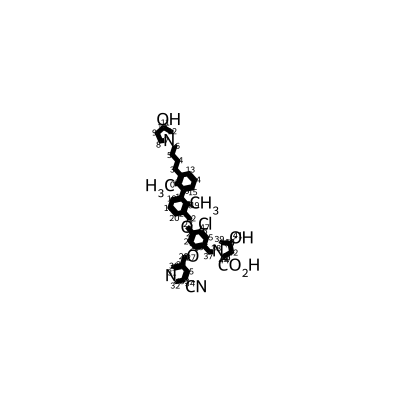 Cc1c(CCCCN2CCC(O)C2)cccc1-c1cccc(COc2cc(OCc3cncc(C#N)c3)c(CN3C[C@H](O)C[C@H]3C(=O)O)cc2Cl)c1C